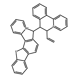 C=CC1C(C2c3ccc4c(sc5ccccc54)c3-c3cccc[n+]32)c2ccccc2-c2cccc[n+]21